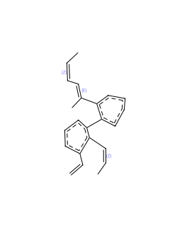 C=Cc1cccc(-c2ccccc2/C(C)=C/C=C\C)c1/C=C\C